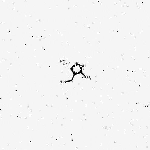 Cc1[nH]ncc1CN.Cl.Cl